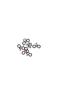 c1cc(-c2nc(-c3ccc4c(c3)sc3ccccc34)nc(-c3ccc4c(c3)sc3ccccc34)n2)c2c(c1)oc1ccc(-c3cc(-c4ccc5c(c4)sc4ccccc45)cc4sc5ccccc5c34)cc12